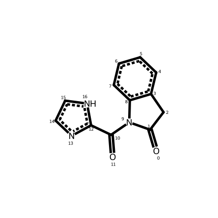 O=C1Cc2ccccc2N1C(=O)c1ncc[nH]1